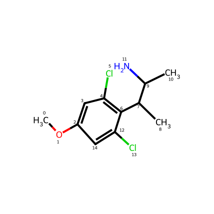 COc1cc(Cl)c(C(C)C(C)N)c(Cl)c1